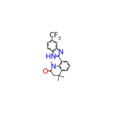 CN1C(=O)CC(C)(C)c2cccc(-c3nc4cc(C(F)(F)F)ccc4[nH]3)c21